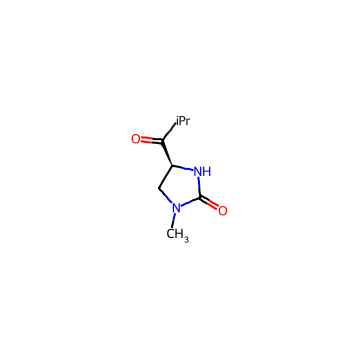 CC(C)C(=O)[C@@H]1CN(C)C(=O)N1